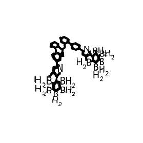 Bc1c(B)c(B)c(-c2cnc(-c3ccc(-c4ccccc4CC(C#C)c4ccccc4-c4ccc(-c5cc(C)c(-c6c(B)c(B)c(B)c(B)c6B)cn5)cc4)cc3)cc2C)c(B)c1B